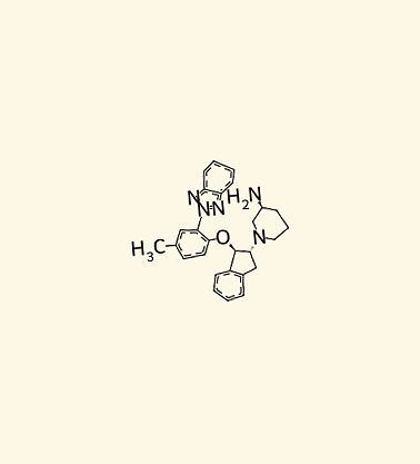 Cc1ccc(O[C@@H]2c3ccccc3C[C@H]2N2CCC[C@H](N)C2)c(-n2nc3ccccc3n2)c1